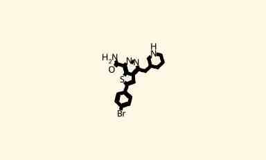 NC(=O)c1nnc(CC2CCCNC2)c2cc(-c3ccc(Br)cc3)sc12